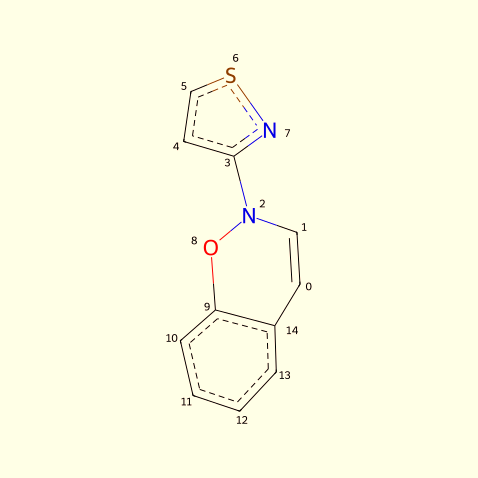 C1=CN(c2ccsn2)Oc2ccccc21